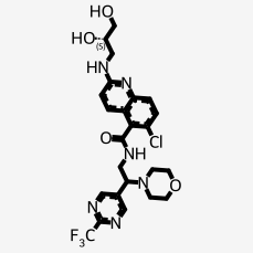 O=C(NCC(c1cnc(C(F)(F)F)nc1)N1CCOCC1)c1c(Cl)ccc2nc(NC[C@H](O)CO)ccc12